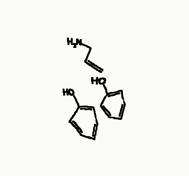 C=CCN.Oc1ccccc1.Oc1ccccc1